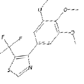 COc1cc(-c2ncsc2C(F)(F)F)cc(OC)c1OC